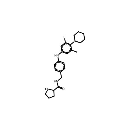 O=C(NCc1ccc(Nc2cc(F)c(N3CCCCC3)c(F)c2)cc1)C1CCCN1